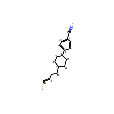 N#Cc1ccc(C2CCC(CC/C=C/F)CC2)cc1